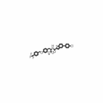 COC(=O)C(Cc1ccc(OCc2ccc(C(F)(F)F)cc2)cc1)NC(=O)c1cc2cc(-c3ccc(Cl)cc3)ccc2s1